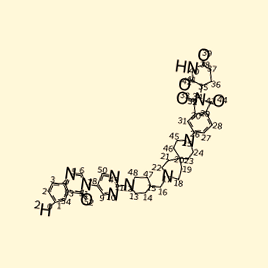 [2H]c1ccc2ncn(-c3cnc(N4CCC(CN5CCC6(CC5)CCN(c5ccc7c(c5)C(=O)N(C5CCC(=O)NC5=O)C7=O)CC6)CC4)nc3)c(=O)c2c1